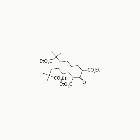 CCOC(=O)C(CCCCC(C)(C)C(=O)OCC)C(=O)C(CCCCC(C)(C)C(=O)OCC)C(=O)OCC